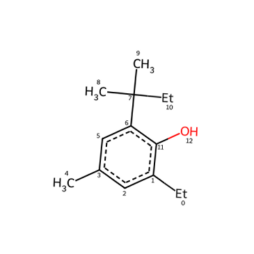 CCc1cc(C)cc(C(C)(C)CC)c1O